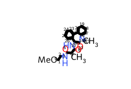 COCCNC(=O)C(C)C(=O)NC1C(=O)N(C)c2ccccc2-c2ccccc21